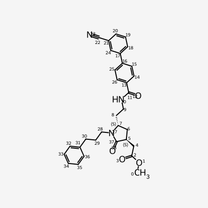 COC(=O)C[C@@H]1C[C@@H](CCNC(=O)c2ccc(-c3cccc(C#N)c3)cc2)N(CCCc2ccccc2)C1=O